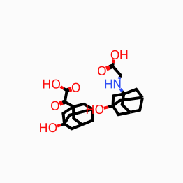 O=C(O)C(=O)C12CC3CC(CC(O)(C3)C1)C2.O=C(O)CNC12CC3CC(CC(O)(C3)C1)C2